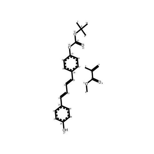 C=C(C)C(=O)OC.CC(C)(C)OC(=O)Oc1ccc(C=CC=Cc2ccc(O)cc2)cc1